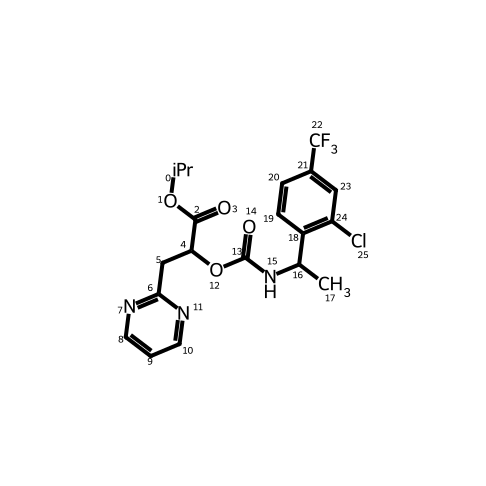 CC(C)OC(=O)C(Cc1ncccn1)OC(=O)NC(C)c1ccc(C(F)(F)F)cc1Cl